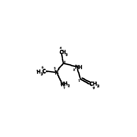 C=CNC(C)N(C)N